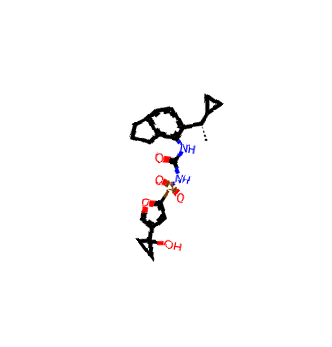 C[C@H](c1ccc2c(c1NC(=O)NS(=O)(=O)c1cc(C3(O)CC3)co1)CCC2)C1CC1